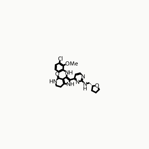 COc1c(Cl)cccc1Nc1c(-c2ccnc(NC[C@H]3CCCO3)n2)[nH]c2c1C(=O)NCC2